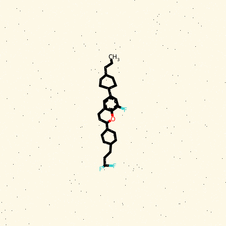 CCCC1CCC(c2cc(F)c3c(c2)CCC(C2CCC(CCC(F)F)CC2)O3)CC1